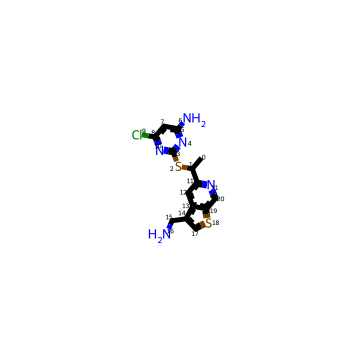 CC(Sc1nc(N)cc(Cl)n1)c1cc2c(CN)csc2cn1